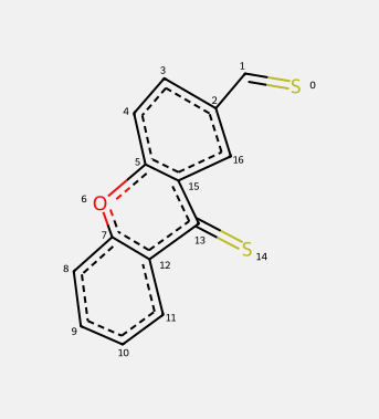 S=Cc1ccc2oc3ccccc3c(=S)c2c1